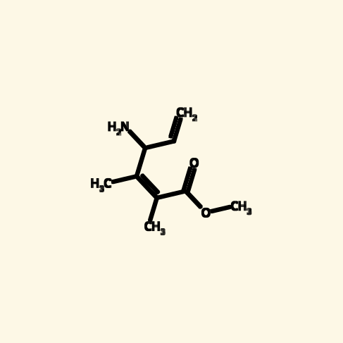 C=CC(N)C(C)=C(C)C(=O)OC